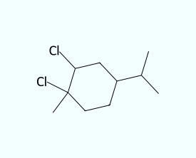 CC(C)C1CCC(C)(Cl)C(Cl)C1